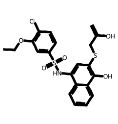 C=C(O)CSc1cc(NS(=O)(=O)c2ccc(Cl)c(OCC)c2)c2ccccc2c1O